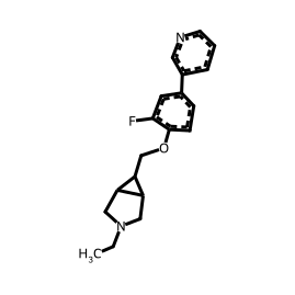 CCN1CC2C(COc3ccc(-c4cccnc4)cc3F)C2C1